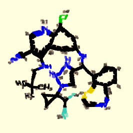 CC(C)(C)CNc1c(C#N)cnc2c(Cl)cc(N[C@H](C3=CN(C4(C(F)F)CC4)NN3)c3cccc4ncsc34)cc12